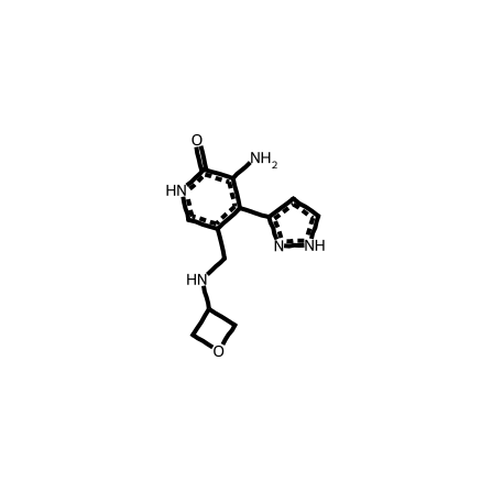 Nc1c(-c2cc[nH]n2)c(CNC2COC2)c[nH]c1=O